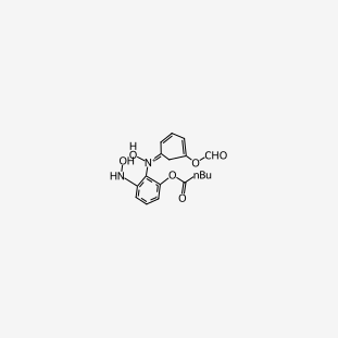 CCCCC(=O)Oc1cccc(NO)c1/[N+](O)=C1/C=CC=C(OC=O)C1